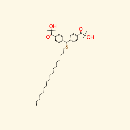 CCCCCCCCCCCCCCCCCCSC(c1ccc(C(=O)C(C)(C)O)cc1)c1ccc(C(=O)C(C)(C)O)cc1